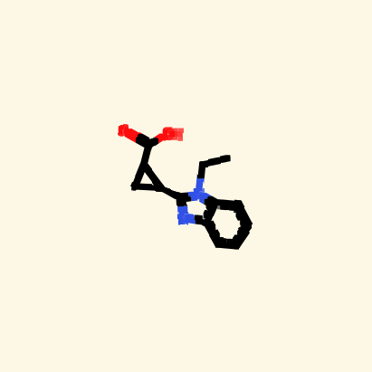 CCn1c([C@H]2CC2C(=O)O)nc2ccccc21